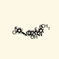 COc1ccc2nccc([C@H](F)CC[C@@H]3CCN(CC#Cc4ccc(F)c(Cl)c4)C[C@@H]3C(=O)O)c2c1